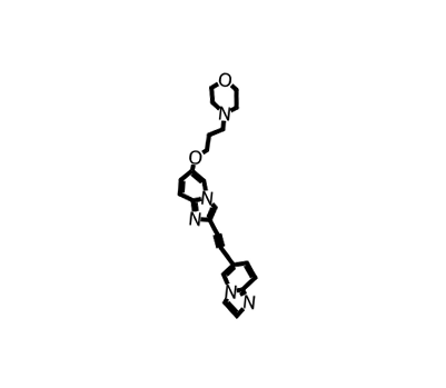 C(#Cc1cn2cc(OCCCN3CCOCC3)ccc2n1)c1ccc2nccn2c1